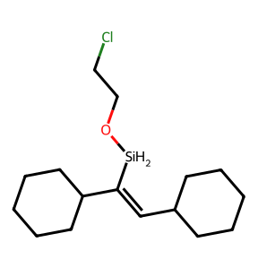 ClCCO[SiH2]C(=CC1CCCCC1)C1CCCCC1